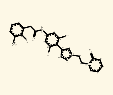 O=C(Cc1cccc(C(F)(F)F)c1F)Nc1cc(F)c(-c2cn(CCn3ccccc3=O)nn2)c(F)c1